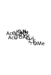 COc1ccc(OCc2cn(C3OCC(OC(C)=O)C(OC(C)=O)C3OC(C)=O)nn2)cc1